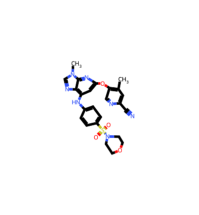 Cc1cc(C#N)ncc1Oc1cc(Nc2ccc(S(=O)(=O)N3CCOCC3)cc2)c2ncn(C)c2n1